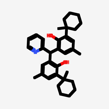 Cc1cc(C(c2ccccn2)c2cc(C)cc(C3(C)CCCCC3)c2O)c(O)c(C2(C)CCCCC2)c1